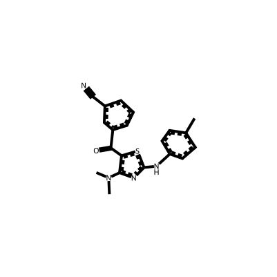 Cc1ccc(Nc2nc(N(C)C)c(C(=O)c3cccc(C#N)c3)s2)cc1